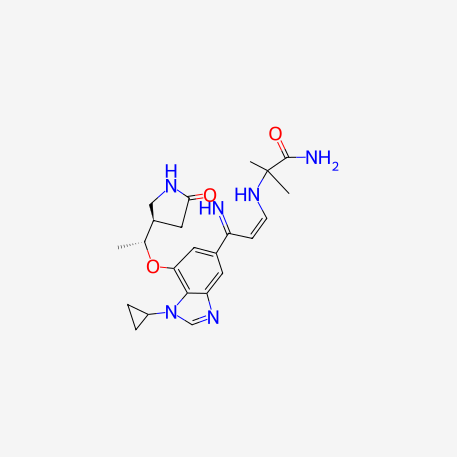 C[C@@H](Oc1cc(C(=N)/C=C\NC(C)(C)C(N)=O)cc2ncn(C3CC3)c12)[C@H]1CNC(=O)C1